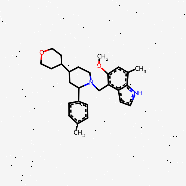 COc1cc(C)c2[nH]ccc2c1CN1CCC(C2CCOCC2)CC1c1ccc(C)cc1